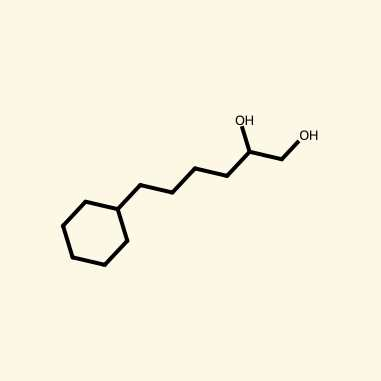 OCC(O)CCCCC1CCCCC1